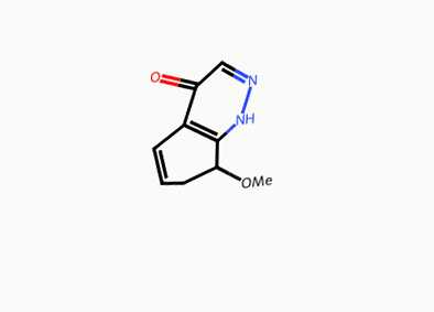 COC1CC=Cc2c1[nH]ncc2=O